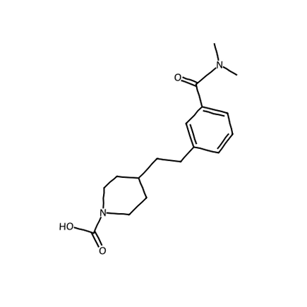 CN(C)C(=O)c1cccc(CCC2CCN(C(=O)O)CC2)c1